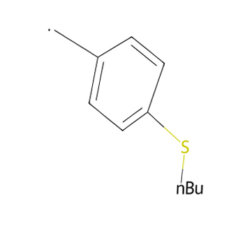 [CH2]c1ccc(SCCCC)cc1